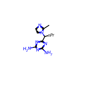 CCCC(c1nc(N)nc(N)n1)n1ccnc1C